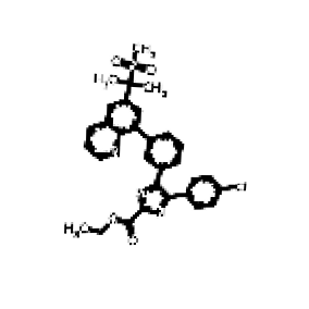 CCOC(=O)c1nc(-c2ccc(Cl)cc2)c(-c2cccc(-c3cc(C(C)(C)S(C)(=O)=O)cc4cccnc34)c2)s1